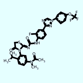 CC(=O)N(C)c1ccc(C(C)C)c(N2C(=O)CSC2=NC(=O)Nc2ccc(-c3ncn(-c4ccc(OC(F)(F)F)cc4)n3)cc2F)c1